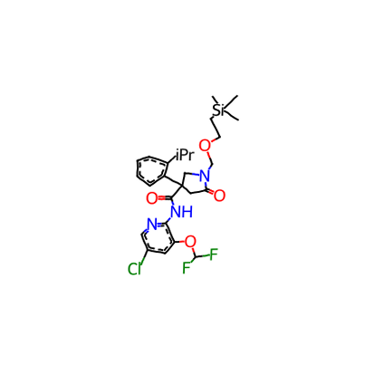 CC(C)c1ccccc1C1(C(=O)Nc2ncc(Cl)cc2OC(F)F)CC(=O)N(COCC[Si](C)(C)C)C1